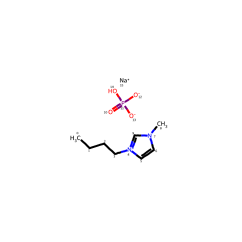 CCCC[n+]1ccn(C)c1.O=P([O-])([O-])O.[Na+]